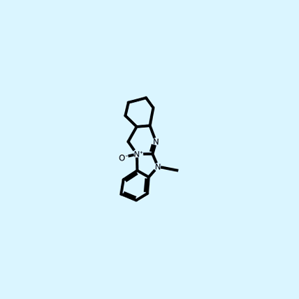 CN1C2=NC3CCCCC3C[N+]2([O-])c2ccccc21